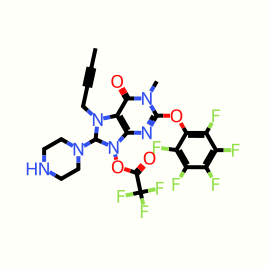 CC#CCN1c2c(nc(Oc3c(F)c(F)c(F)c(F)c3F)n(C)c2=O)N(OC(=O)C(F)(F)F)C1N1CCNCC1